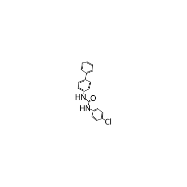 O=C(Nc1ccc(Cl)cc1)Nc1ccc(-c2ccccc2)cc1